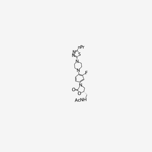 CCCc1nnc(N2CCN(c3ccc(N4C[C@H](CNC(C)=O)OC4=O)cc3F)CC2)s1